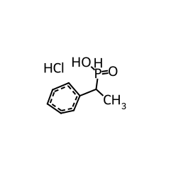 CC(c1ccccc1)[PH](=O)O.Cl